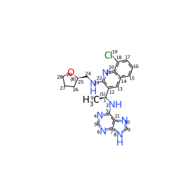 C[C@H](Nc1ncnc2[nH]cnc12)c1cc2cccc(Cl)c2nc1NC[C@H]1CCCO1